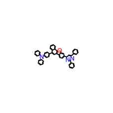 c1ccc(-c2cc(-c3ccc4c(c3)oc3c5ccccc5c(-c5ccc(N(c6ccccc6)c6ccccc6)cc5)cc43)nc(-c3ccccc3)n2)cc1